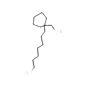 CCC1(CCCCCCCO)CCCCC1